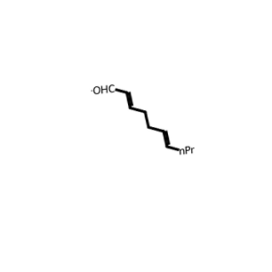 CCCC=CCCC=C[C]=O